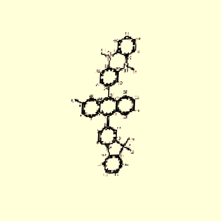 Cc1ccc2c(-c3ccc4c(c3)C(C)(C)c3ccccc3-4)c3ccccc3c(-c3ccc4c(c3)N(C)c3ccccc3N4C)c2c1